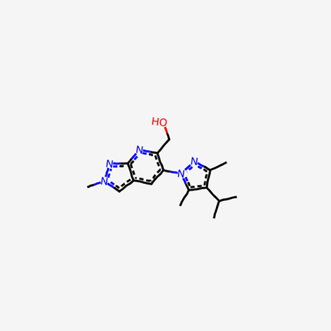 Cc1nn(-c2cc3cn(C)nc3nc2CO)c(C)c1C(C)C